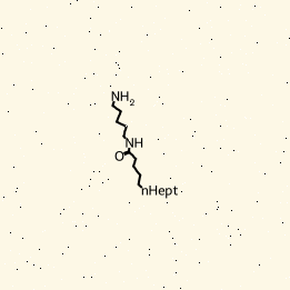 CCCCCCCCCCCC(=O)NCCCCCN